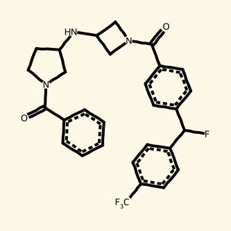 O=C(c1ccccc1)N1CCC(NC2CN(C(=O)c3ccc(C(F)c4ccc(C(F)(F)F)cc4)cc3)C2)C1